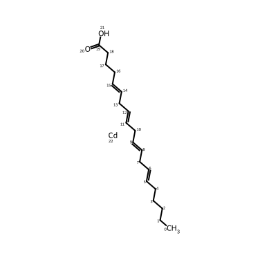 CCCCCC=CCC=CCC=CCC=CCCCC(=O)O.[Cd]